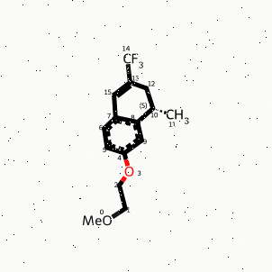 COCCOc1ccc2c(c1)[C@@H](C)CC(C(F)(F)F)=C2